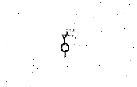 CC1(C(=O)O)CC1c1ccc(F)cc1